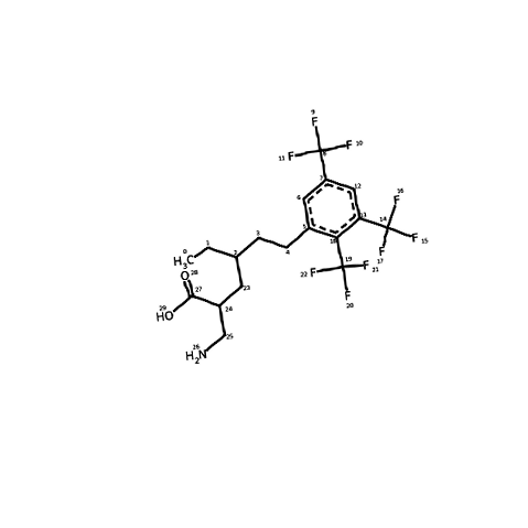 CCC(CCc1cc(C(F)(F)F)cc(C(F)(F)F)c1C(F)(F)F)CC(CN)C(=O)O